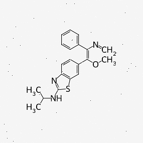 C=N/C(=C(\OC)c1ccc2nc(NC(C)C)sc2c1)c1ccccc1